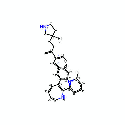 C=C(CCC1(CC)CCNC1)C(/C=c1/cc(C2=C(c3cccc(C)n3)NC=CC=C2)ccc1=C)=C/C